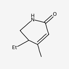 CCC1CNC(=O)C=C1C